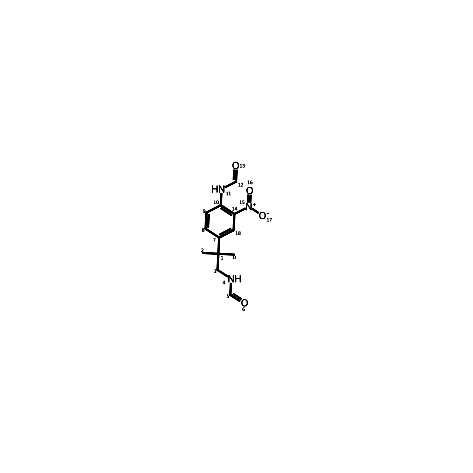 CC(C)(CNC=O)c1ccc(NC=O)c([N+](=O)[O-])c1